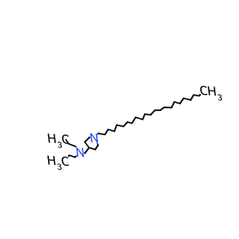 CCCCCCCCCCCCCCCCCCCCCCCN1CCC(CN(CCC)CCC)CC1